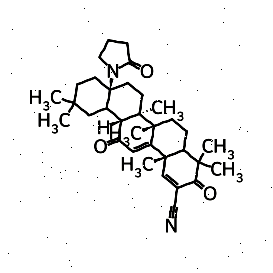 CC1(C)CC[C@]2(N3CCCC3=O)CC[C@]3(C)[C@H](C(=O)C=C4[C@@]5(C)C=C(C#N)C(=O)C(C)(C)C5CC[C@]43C)C2C1